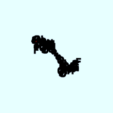 C[C@H]([C@H](NC(=O)OC(C)(C)C)C(=O)N1CC(C)(C)c2nc(O[Si](C)(C)C(C)(C)C)c(Cc3ccc(F)cc3)cc21)n1cc(COc2ccc(C(C)(C)c3ccc(OCc4cn([C@H](C)[C@H](NC(=O)OC(C)(C)C)C(=O)N5CC(C)(C)c6nc(O[Si](C)(C)C(C)(C)C)c(Cc7ccc(F)cc7)cc65)nn4)cc3)cc2)nn1